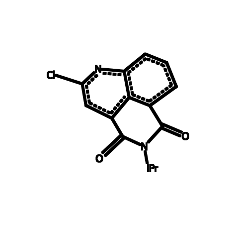 CC(C)N1C(=O)c2cccc3nc(Cl)cc(c23)C1=O